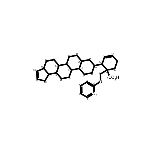 O=C(O)C1(COc2ccccn2)CCC=CC1C1CCC2C(CCC3C2CCC2C4CC=CC4CCC23)C1